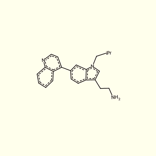 CC(C)Cn1cc(CCN)c2ccc(-c3ccnc4ccccc34)cc21